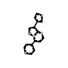 c1cc(-c2ccnc3c(-c4ccsc4)cnn23)ccn1